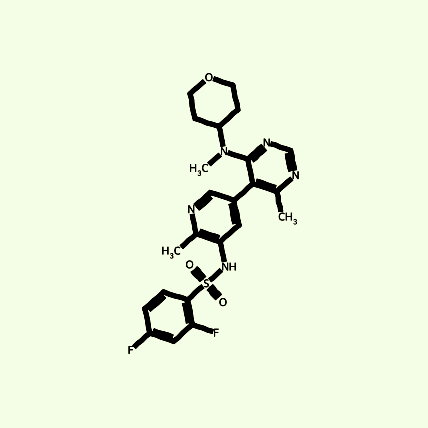 Cc1ncc(-c2c(C)ncnc2N(C)C2CCOCC2)cc1NS(=O)(=O)c1ccc(F)cc1F